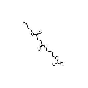 CCCCOC(=O)CCC(=O)OCCCO[N+](=O)[O-]